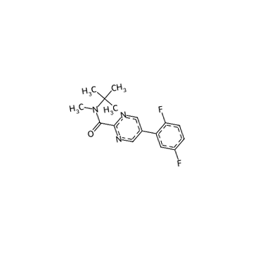 CN(C(=O)c1ncc(-c2cc(F)ccc2F)cn1)C(C)(C)C